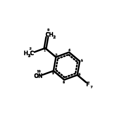 C=C(C)c1ccc(F)cc1N=O